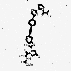 COC(=O)N[C@H](C(=O)N1CC(=O)C[C@H]1c1nc2cc(C#Cc3ccc(-c4c[nH]c([C@@H]5CCCN5C(=O)[C@@H](C)C(C)C)n4)cc3)ccc2[nH]1)C(C)C